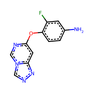 Nc1ccc(Oc2cc3nncn3cn2)c(F)c1